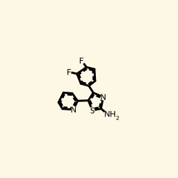 Nc1nc(-c2ccc(F)c(F)c2)c(-c2ccccn2)s1